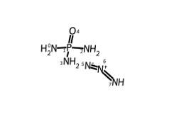 NP(N)(N)=O.[N-]=[N+]=N